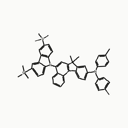 Cc1ccc(N(c2ccc(C)cc2)c2ccc3c(c2)C(C)(C)c2cc(-n4c5ccc([Si](C)(C)C)cc5c5cc([Si](C)(C)C)ccc54)c4ccccc4c2-3)cc1